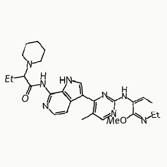 C/C=C(Nc1ncc(C)c(-c2c[nH]c3c(NC(=O)C(CC)N4CCCCC4)nccc23)n1)\C(=N/CC)OC